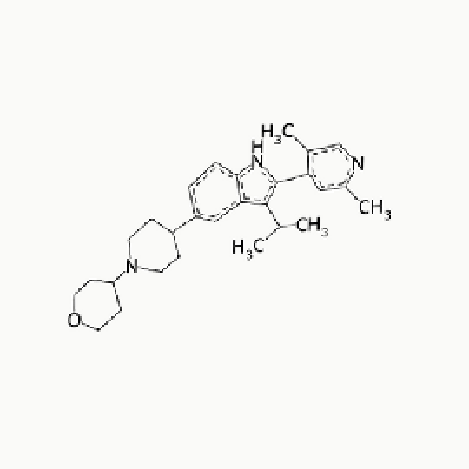 Cc1cc(-c2[nH]c3ccc(C4CCN(C5CCOCC5)CC4)cc3c2C(C)C)c(C)cn1